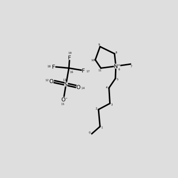 CCCCCC[N+]1(C)CCCC1.O=S(=O)([O-])C(F)(F)F